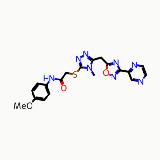 COc1ccc(NC(=O)CSc2nnc(Cc3nc(-c4cnccn4)no3)n2C)cc1